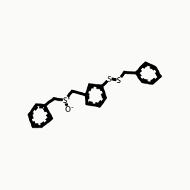 [O-][S+](Cc1ccccc1)Cc1cccc(SSCc2ccccc2)c1